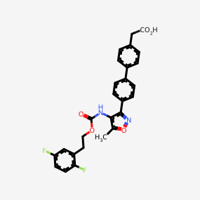 Cc1onc(-c2ccc(-c3ccc(CC(=O)O)cc3)cc2)c1NC(=O)OCCc1cc(F)ccc1F